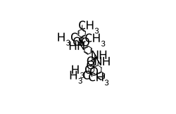 Cc1cc(C)c(S(=O)(=O)Nc2ccc(NC(=O)N[C@@H](Cc3ccccc3)C(=O)OC(C)(C)C)cc2)c(C)c1